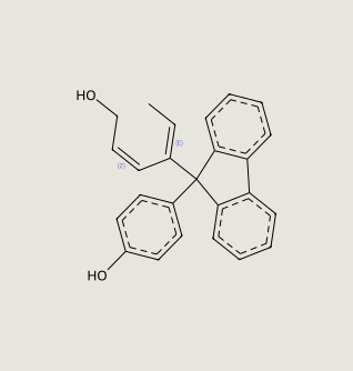 C/C=C(\C=C/CO)C1(c2ccc(O)cc2)c2ccccc2-c2ccccc21